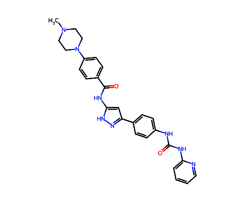 CN1CCN(c2ccc(C(=O)Nc3cc(-c4ccc(NC(=O)Nc5ccccn5)cc4)n[nH]3)cc2)CC1